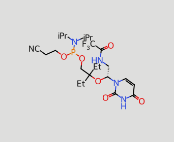 CCC(CC)(COP(OCCC#N)N(C(C)C)C(C)C)O[C@H](CNC(=O)C(F)(F)F)n1ccc(=O)[nH]c1=O